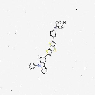 N#C/C(=C\c1ccc(-c2cc3sc4cc(-c5ccc6c(c5)C5C7CCC(C7)C5N6c5ccccc5)sc4c3s2)cc1)C(=O)O